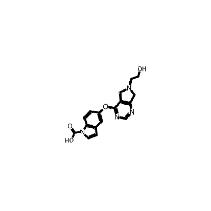 O=C(O)n1ccc2cc(Oc3ncnc4c3CN(CCO)C4)ccc21